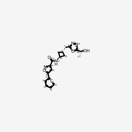 C[C@@H](O)c1nnc(C[C@H]2C[C@H](NC(=O)c3cc(-c4ccccc4)on3)C2)o1